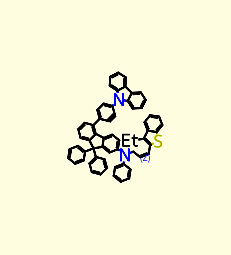 CCc1c(/C=C\CN(c2ccccc2)c2ccc3c(c2)C(c2ccccc2)(c2ccccc2)c2cccc(-c4c#cc(-n5c6ccccc6c6ccccc65)cc4)c2-3)sc2ccccc12